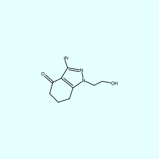 CC(C)c1nn(CCO)c2c1C(=O)CCC2